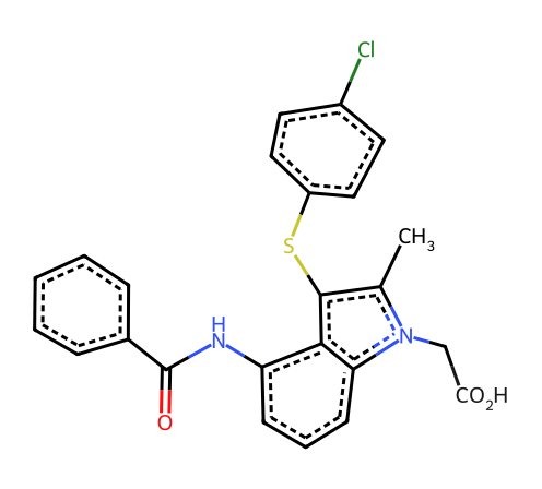 Cc1c(Sc2ccc(Cl)cc2)c2c(NC(=O)c3ccccc3)cccc2n1CC(=O)O